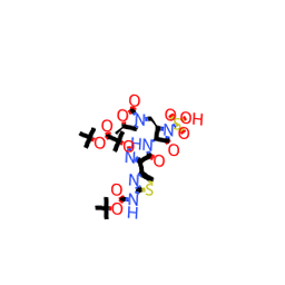 C[C@@H]1CN(C[C@@H]2[C@H](NC(=O)C(=NOC(C)(C)C(=O)OC(C)(C)C)c3csc(NC(=O)OC(C)(C)C)n3)C(=O)N2S(=O)(=O)O)C(=O)O1